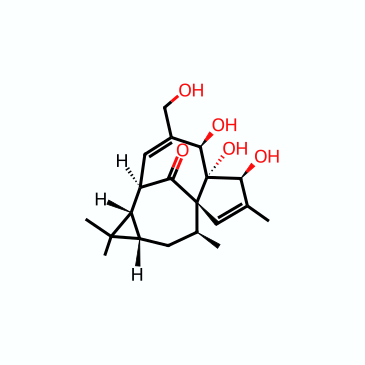 CC1=C[C@@]23C(=O)[C@H](C=C(CO)[C@@H](O)[C@@]2(O)[C@H]1O)[C@@H]1[C@H](C[C@@H]3C)C1(C)C